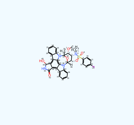 CO[C@@H]1[C@H](N(C)S(=O)(=O)c2ccc(I)cc2)C[C@H]2O[C@]1(C)n1c3ccccc3c3c4c(c5c6ccccc6n2c5c31)C(=O)N[C@H]4O